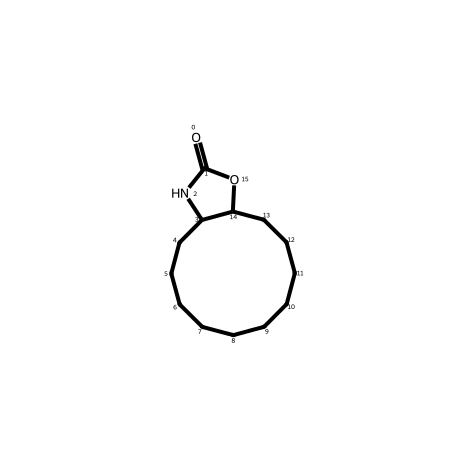 O=C1NC2CCCCCCCCCCC2O1